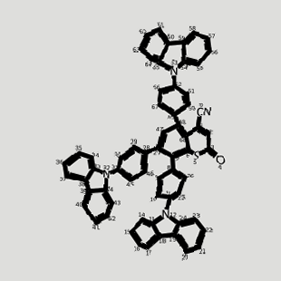 N#Cc1cc(=O)sc2c(-c3ccc(-n4c5ccccc5c5ccccc54)cc3)c(-c3ccc(-n4c5ccccc5c5ccccc54)cc3)cc(-c3ccc(-n4c5ccccc5c5ccccc54)cc3)c12